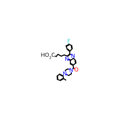 Cc1ccccc1N1CCN(C(=O)c2ccc3nc(-c4ccc(F)cc4)c(CCCCC(=O)O)nc3c2)CC1